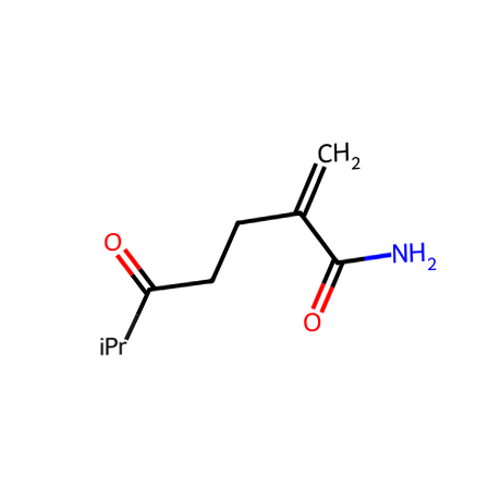 C=C(CCC(=O)C(C)C)C(N)=O